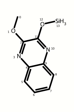 COc1nc2ccccc2nc1O[SiH3]